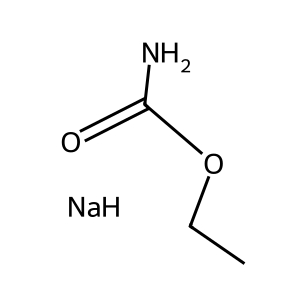 CCOC(N)=O.[NaH]